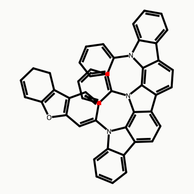 C1=Cc2oc3cc(-n4c5ccccc5c5ccc6c7ccc8c9ccccc9n(-c9ccccc9)c8c7n(-c7ccccc7)c6c54)ccc3c2CC1